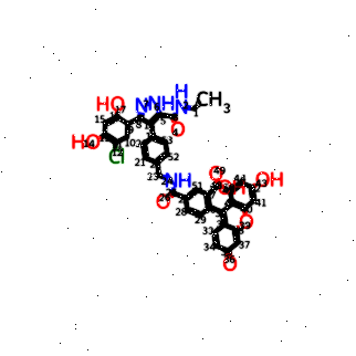 CCNC(=O)c1[nH]nc(C2CC(Cl)=C(O)C=C2O)c1-c1ccc(CNC(=O)c2ccc(-c3c4ccc(=O)cc-4oc4cc(O)ccc34)c(C(=O)O)c2)cc1